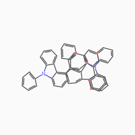 c1ccc(-c2ccccc2-c2c(-c3ccccc3)cccc2-c2ccccc2N(c2ccccc2)c2cccc(-c3cccc4c3c3ccccc3n4-c3ccccc3)c2)cc1